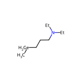 CCN(CC)CC[CH2][GeH2][CH3]